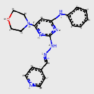 C(=N\Nc1nc(Nc2ccccc2)cc(N2CCOCC2)n1)/c1ccncc1